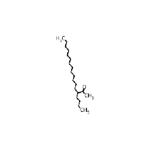 CCCCCCCCCCCCCC(CCCC)C(C)=O